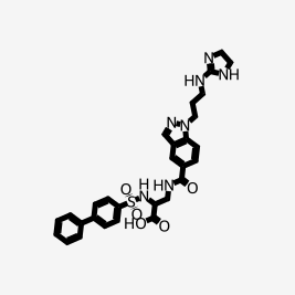 O=C(NCC(NS(=O)(=O)c1ccc(-c2ccccc2)cc1)C(=O)O)c1ccc2c(cnn2CCCNC2=NCCN2)c1